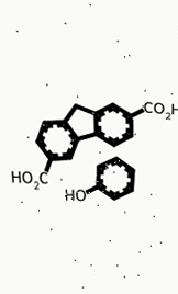 O=C(O)c1ccc2c(c1)Cc1ccc(C(=O)O)cc1-2.Oc1ccccc1